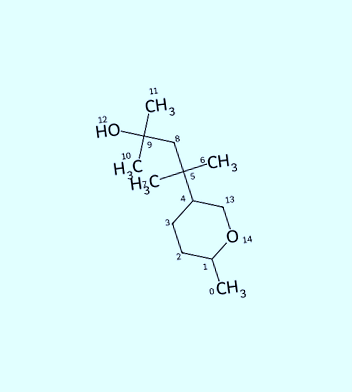 CC1CCC(C(C)(C)CC(C)(C)O)CO1